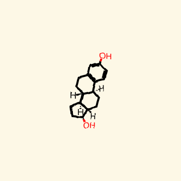 Oc1ccc2c(c1)CC[C@H]1[C@@H]3CC[C@H](O)[C@H]3CC[C@H]21